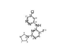 Fc1cnc(N2CCCC2)nc1Nc1cc(Cl)cnn1